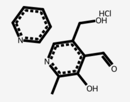 Cc1ncc(CO)c(C=O)c1O.Cl.c1ccncc1